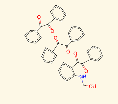 O=C(C(=O)c1ccccc1)c1ccccc1.O=C(C(=O)c1ccccc1)c1ccccc1.O=C(C(=O)c1ccccc1NCO)c1ccccc1